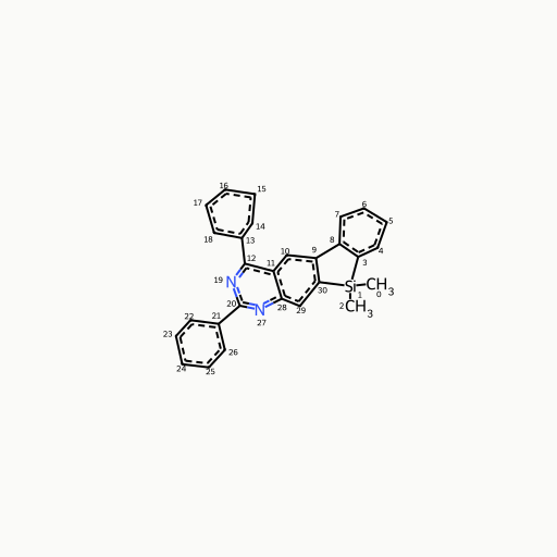 C[Si]1(C)c2ccccc2-c2cc3c(-c4ccccc4)nc(-c4ccccc4)nc3cc21